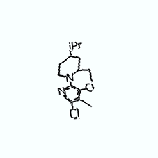 Cc1c(Cl)cnc2c1OCCC1CC(C(C)C)CCN21